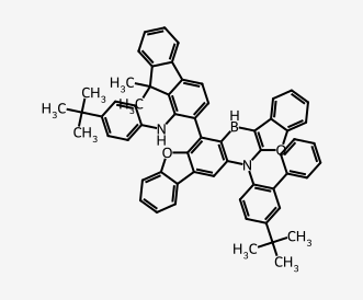 CC(C)(C)c1ccc(Nc2c(-c3c4c(cc5c3oc3ccccc35)N(c3ccc(C(C)(C)C)cc3-c3ccccc3)c3oc5ccccc5c3B4)ccc3c2C(C)(C)c2ccccc2-3)cc1